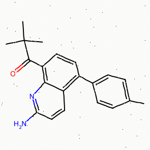 Cc1ccc(-c2ccc(C(=O)C(C)(C)C)c3nc(N)ccc23)cc1